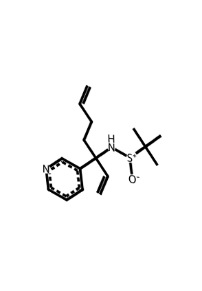 C=CCCC(C=C)(N[S+]([O-])C(C)(C)C)c1cccnc1